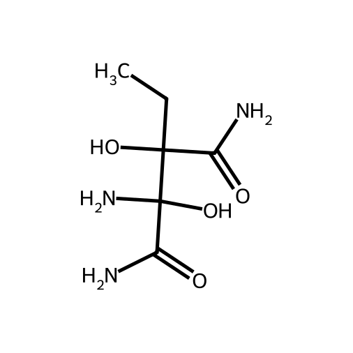 CCC(O)(C(N)=O)C(N)(O)C(N)=O